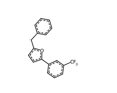 FC(F)(F)c1cccc(-c2ccc([CH]c3ccccc3)o2)c1